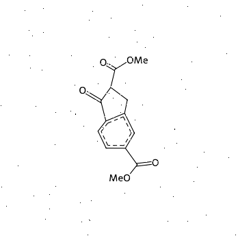 COC(=O)c1ccc2c(c1)CC(C(=O)OC)C2=O